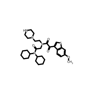 COc1ccc2c(C(=O)C(=O)N(CCN3CCNCC3)CC(=O)N(C3CCCCC3)C3CCCCC3)csc2c1